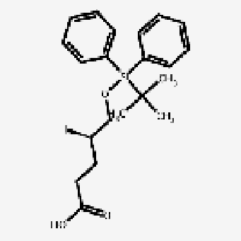 CC(C)(C)[Si](OC[C@H](I)CCC(=O)O)(c1ccccc1)c1ccccc1